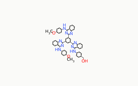 COc1ccc(Nc2nc(-c3cc(-c4nc(Nc5ccc(CO)cc5)c5ccccc5n4)cc(-c4nc(Nc5ccc(OC)cc5)c5ccccc5n4)c3)nc3ccccc23)cc1